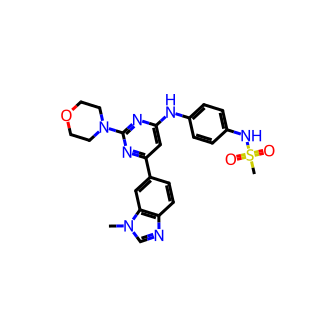 Cn1cnc2ccc(-c3cc(Nc4ccc(NS(C)(=O)=O)cc4)nc(N4CCOCC4)n3)cc21